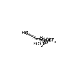 CCOC(=O)C(=O)NC(Cc1ccc(C#CCCCCCCCCCO)cc1)c1ccc(C(F)(F)F)cc1